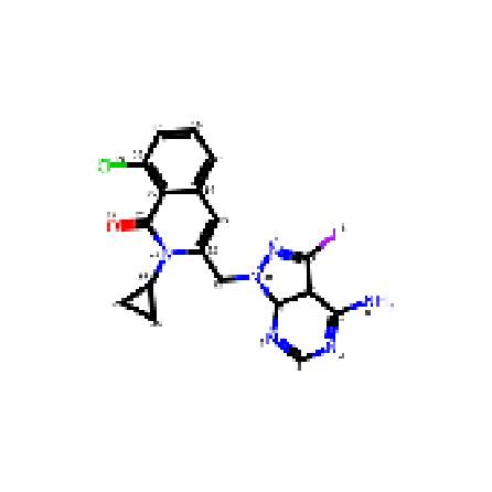 NC1=NC=NC2C1C(I)=NN2Cc1cc2cccc(Cl)c2c(=O)n1C1CC1